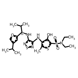 CCN(CC)S(=O)(=O)c1sc(C)c(Nc2nsnc2N[C@@H](c2cc(C(C)C)co2)C(C)C)c1O